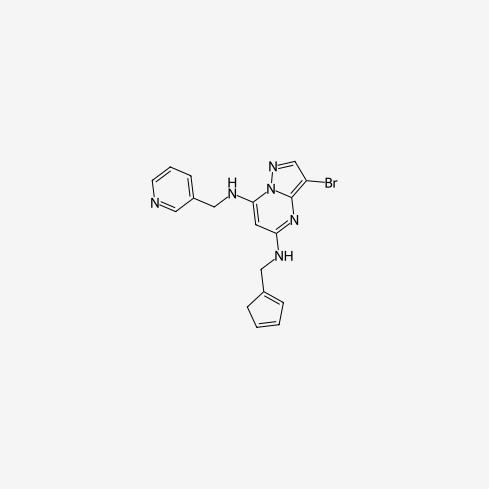 Brc1cnn2c(NCc3cccnc3)cc(NCC3=CC=CC3)nc12